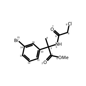 COC(=O)C(C)(NC(=O)CCl)c1cccc(Br)c1